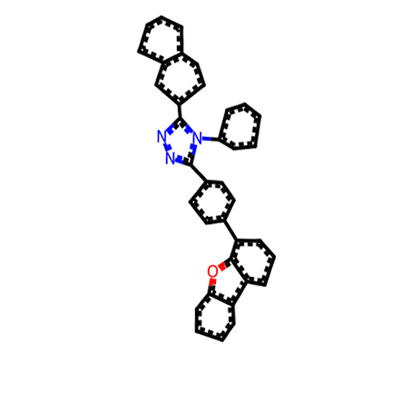 c1ccc(-n2c(-c3ccc(-c4cccc5c4oc4ccccc45)cc3)nnc2-c2ccc3ccccc3c2)cc1